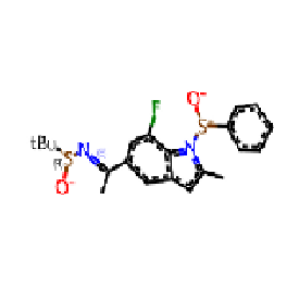 C/C(=N\[S@@+]([O-])C(C)(C)C)c1cc(F)c2c(c1)cc(C)n2[S+]([O-])c1ccccc1